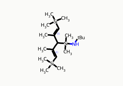 C/C(=C\[Si](C)(C)C)C(/C(C)=C/[Si](C)(C)C)[Si](C)(C)NC(C)(C)C